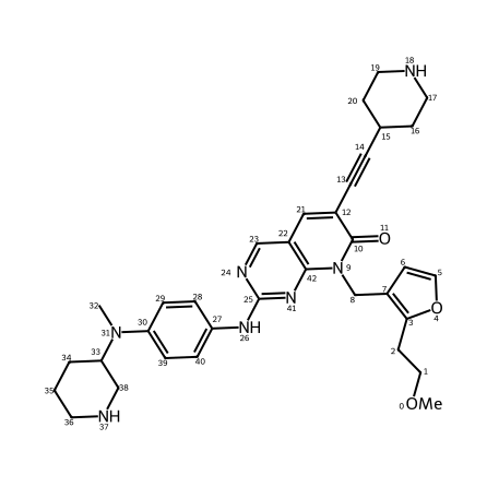 COCCc1occc1Cn1c(=O)c(C#CC2CCNCC2)cc2cnc(Nc3ccc(N(C)C4CCCNC4)cc3)nc21